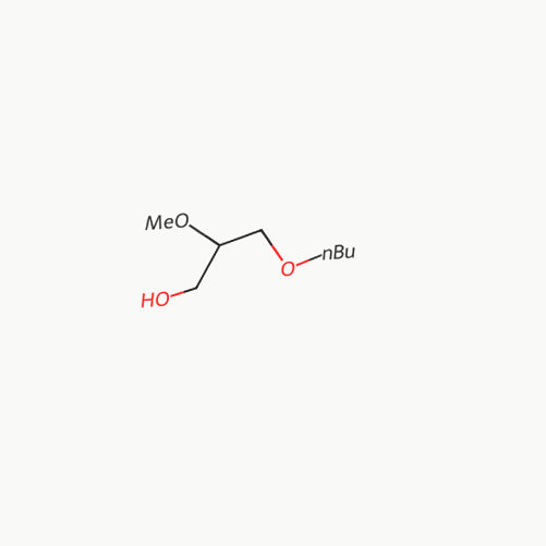 CCCCOCC(CO)OC